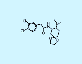 CN(C)C1CCC2(CC1NC(=O)Cc1ccc(Cl)c(Cl)c1)OCCO2